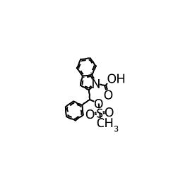 CS(=O)(=O)OC(c1ccccc1)c1cc2ccccc2n1C(=O)O